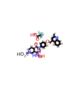 Cc1cc(COc2ccc(NC(=O)[C@H]3CCN(C(=O)O)C[C@@H]3C(=O)NO)cc2)c2ccccc2n1.O=C(O)C(F)(F)F